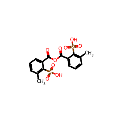 Cc1cccc(C(=O)OC(=O)c2cccc(C)c2S(=O)(=O)O)c1S(=O)(=O)O